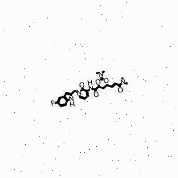 CN(C)C(=O)/C=C/CCC(OC(=O)N(C)C)C(=O)Nc1cccn(Cc2cc3cc(F)ccc3[nH]2)c1=O